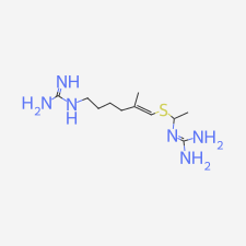 C/C(=C\SC(C)N=C(N)N)CCCCNC(=N)N